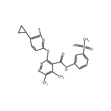 Cc1c(C(F)(F)F)nnc(Oc2ccc(C3CC3)c(F)n2)c1C(=O)Nc1cccc(S(C)(=N)=O)c1